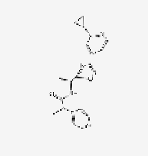 CC(C(=O)N[C@@H](C)c1nc(-c2ccnc(C3CC3)c2)no1)c1ccccc1